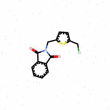 O=C1c2ccccc2C(=O)N1Cc1ccc(CCl)s1